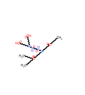 CCCCCCCCCOC(=O)CCCCCCCN(CCCCCCCC(=O)OC(CCCCCCCC)CCCCCCCC)CCNC(=O)CCC(=O)NCCN(CCCCCCCC(=O)O)CCCCCCCC(=O)O